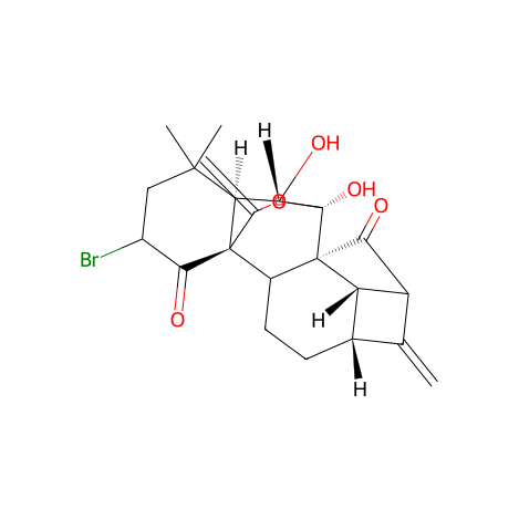 C=C1C2C(=O)[C@@]34C(CC[C@@H]1[C@@H]23)[C@@]12C(=C)O[C@]4(O)[C@@H](O)[C@@H]1C(C)(C)CC(Br)C2=O